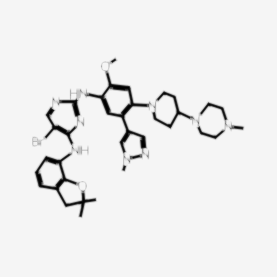 COc1cc(N2CCC(N3CCN(C)CC3)CC2)c(-c2cnn(C)c2)cc1Nc1ncc(Br)c(Nc2cccc3c2OC(C)(C)C3)n1